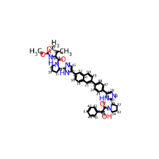 COC(=O)N[C@H](C(=O)N1CCC[C@H]1c1ncc(-c2ccc3cc(-c4ccc(-c5cnc([C@@H]6CCCN6C(=O)[C@H](O)c6ccccc6)[nH]5)cc4)ccc3c2)[nH]1)C(C)C